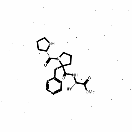 COC(=O)[C@@H](NC(=O)C1(Cc2ccccc2)CCCN1C(=O)[C@@H]1CCCN1)C(C)C